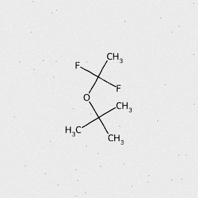 CC(C)(C)OC(C)(F)F